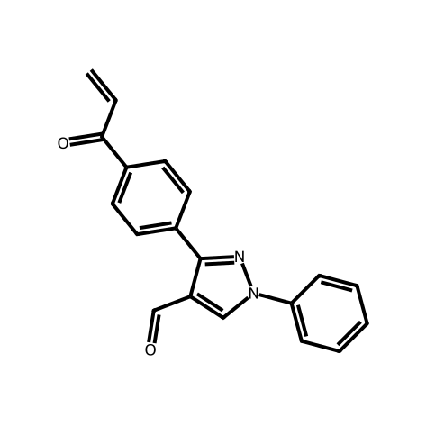 C=CC(=O)c1ccc(-c2nn(-c3ccccc3)cc2C=O)cc1